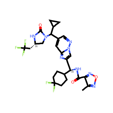 Cc1nonc1C(=O)N[C@H](c1cn2ncc(C(C3CC3)N3C[C@H](CC(F)(F)F)NC3=O)cc2n1)C1CCC(F)(F)CC1